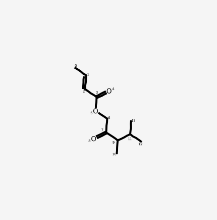 C/C=C/C(=O)OCC(=O)C(C)C(C)C